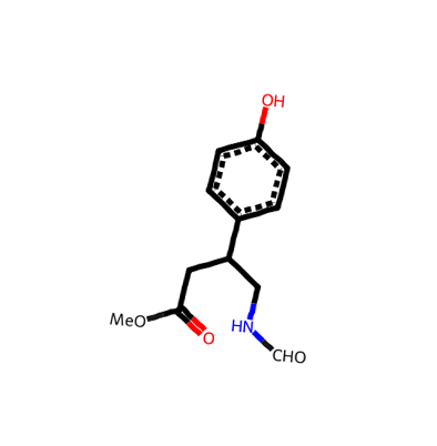 COC(=O)CC(CNC=O)c1ccc(O)cc1